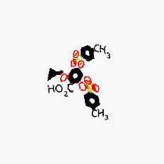 Cc1ccc(S(=O)(=O)Oc2cc(OCC3CC3)c(C(=O)O)c(OS(=O)(=O)c3ccc(C)cc3)c2)cc1